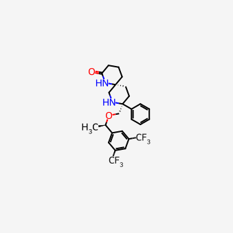 C[C@@H](OC[C@@]1(c2ccccc2)CC[C@]2(CCCC(=O)N2)CN1)c1cc(C(F)(F)F)cc(C(F)(F)F)c1